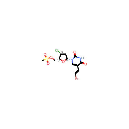 CS(=O)(=O)OC[C@H]1O[C@@H](n2cc(C=CBr)c(=O)[nH]c2=O)C[C@@H]1Cl